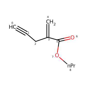 C#CCC(=C)C(=O)OCCC